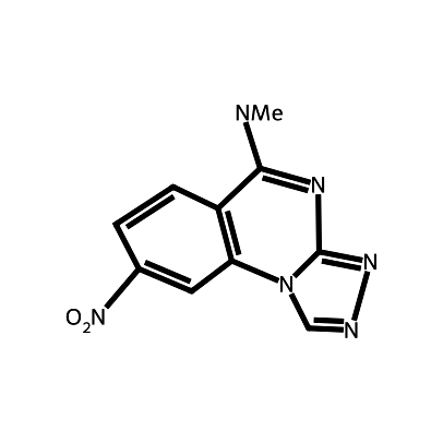 CNc1nc2nncn2c2cc([N+](=O)[O-])ccc12